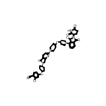 N#Cc1ccc(O[C@H]2CC[C@H](N3Cc4nc(N5CCC(OC6CCN(c7cccc8c7C(=O)N(C7CCC(=O)NC7=O)C8=O)CC6)CC5)ccc4C3=O)CC2)cc1Cl